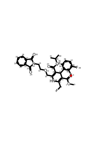 COC(=O)C1=C(CF)NC(COCCN2C(=O)c3ccccc3C2=O)=C(C(=O)OC(C)C)C1c1c(F)ccc(F)c1F